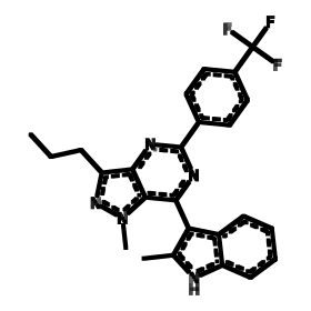 CCCc1nn(C)c2c(-c3c(C)[nH]c4ccccc34)nc(-c3ccc(C(F)(F)F)cc3)nc12